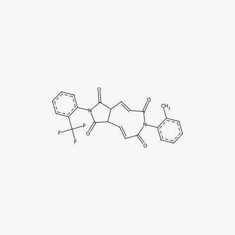 Cc1ccccc1N1C(=O)/C=C/C2C(=O)N(c3ccccc3C(F)(F)F)C(=O)C2/C=C/C1=O